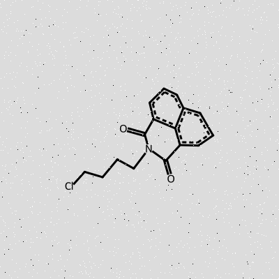 O=C1c2cccc3cccc(c23)C(=O)N1CCCCCl